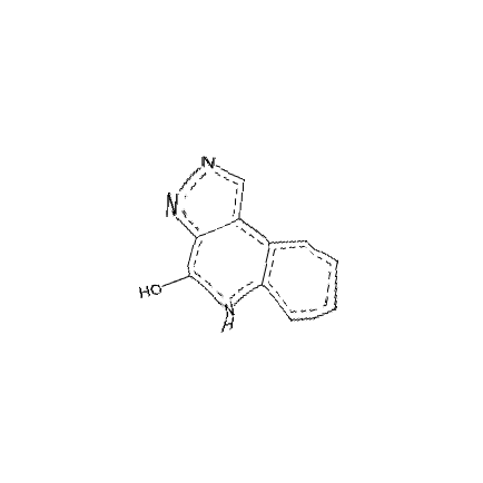 Oc1[nH]c2ccccc2c2cnnc1-2